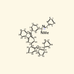 CNC(/N=C/c1ccccc1)c1cccc(-n2c3ccccc3c3cc(-c4cccc5c4oc4c(-c6ccccc6)cccc45)ccc32)c1